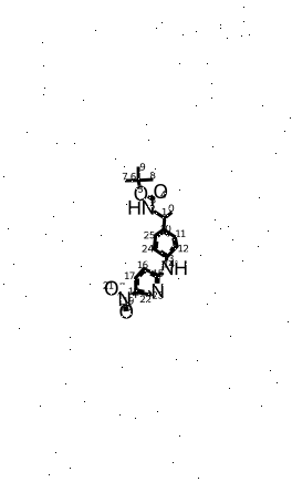 CC(NC(=O)OC(C)(C)C)c1ccc(Nc2ccc([N+](=O)[O-])cn2)cc1